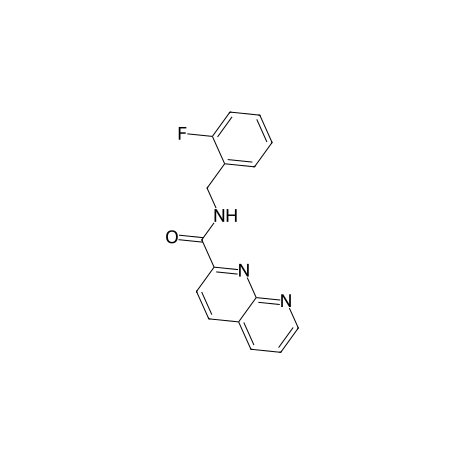 O=C(NCc1ccccc1F)c1ccc2cccnc2n1